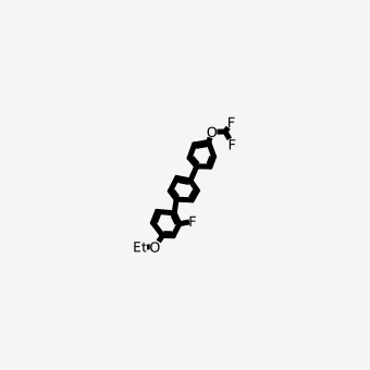 CCOc1ccc(-c2ccc(-c3ccc(OC(F)F)cc3)cc2)c(F)c1